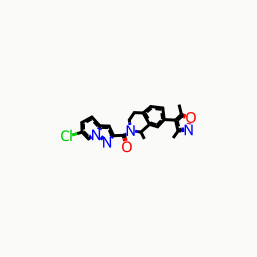 Cc1noc(C)c1-c1ccc2c(c1)C(C)N(C(=O)c1cc3ccc(Cl)cn3n1)CC2